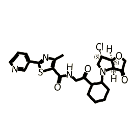 Cc1nc(-c2cccnc2)sc1C(=O)NCC(=O)C1CCCCC1N1C[C@H](Cl)[C@H]2OCC(=O)[C@H]21